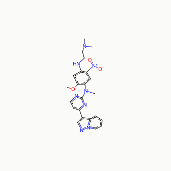 COc1cc(NCCN(C)C)c([N+](=O)[O-])cc1N(C)c1nccc(-c2cnn3ccccc23)n1